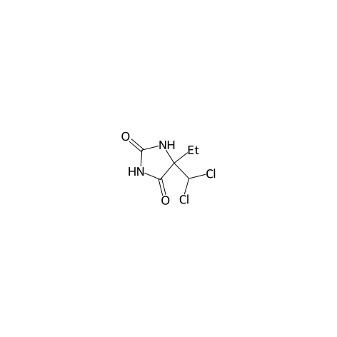 CCC1(C(Cl)Cl)NC(=O)NC1=O